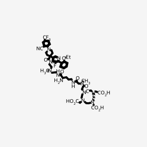 CCOc1ccccc1-c1ncc(C2(C(=O)NCCN(C)CCNC(=O)[C@H](N)CCCNC(=O)CN(C)C(=O)CN3CCN(CC(=O)O)CCN(CC(=O)O)CCN(CC(=O)O)CC3)CCN(c3ccc(C(F)(F)F)cc3C#N)CC2)cc1F